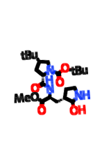 COC(=O)[C@H](C[C@@H]1CCNC1O)NC(=O)[C@@H]1C[C@@H](C(C)(C)C)CN1C(=O)OC(C)(C)C